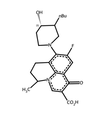 CCCCC1CN(c2c(F)cc3c(=O)c(C(=O)O)cn4c3c2CCC4C)CC[C@@H]1O